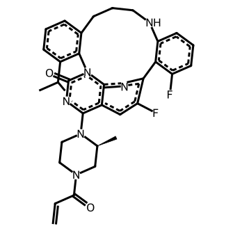 C=CC(=O)N1CCN(c2nc(=O)n3c4nc(c(F)cc24)-c2c(F)cccc2NCCCc2cccc(C(C)C)c2-3)[C@@H](C)C1